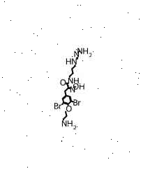 NCCCOc1c(Br)cc(CC(=NO)C(=O)NCCCCNC=NN)cc1Br